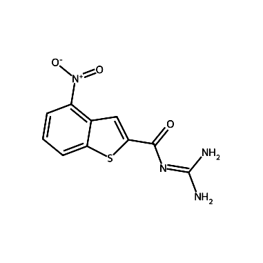 NC(N)=NC(=O)c1cc2c([N+](=O)[O-])cccc2s1